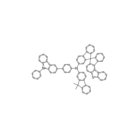 CC1(C)c2ccccc2-c2ccc(N(c3ccc(-c4ccc5c(c4)c4ccccc4n5-c4ccccc4)cc3)c3ccc4c(c3)C3(c5ccccc5-4)c4ccccc4-c4c3ccc3sc5ccccc5c43)cc21